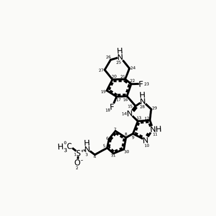 C[S+]([O-])NCc1ccc(-c2n[nH]c3c2N=C(c2c(F)cc4c(c2F)CNCC4)NC3)cc1